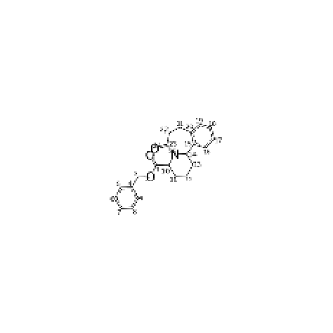 O=C(OCc1ccccc1)C1CCCC2c3ccccc3C[CH]C(=O)N12